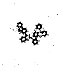 CC1(C)c2ccccc2-c2ccc(-c3nc(-n4c5ccccc5c5c6c7c(cc54)Oc4ccccc4N7c4ccccc4O6)nc4ccccc34)cc21